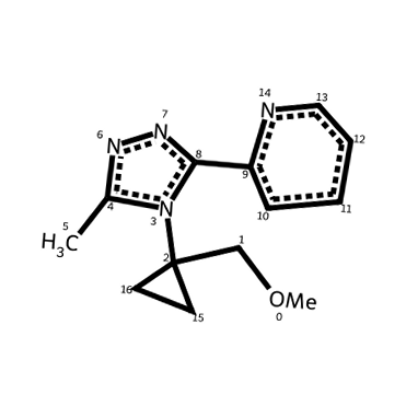 COCC1(n2c(C)nnc2-c2ccccn2)CC1